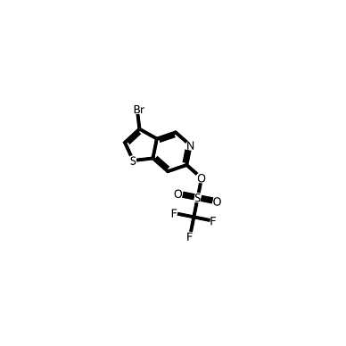 O=S(=O)(Oc1cc2scc(Br)c2cn1)C(F)(F)F